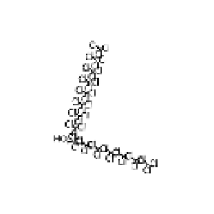 ClC(Cl)Cl.ClC(Cl)Cl.ClC(Cl)Cl.ClC(Cl)Cl.ClC(Cl)Cl.ClC(Cl)Cl.ClC(Cl)Cl.ClC(Cl)Cl.ClC(Cl)Cl.ClC(Cl)Cl.ClC(Cl)Cl.ClC(Cl)Cl.ClC(Cl)Cl.ClC(Cl)Cl.OCC(Cl)(Cl)Cl